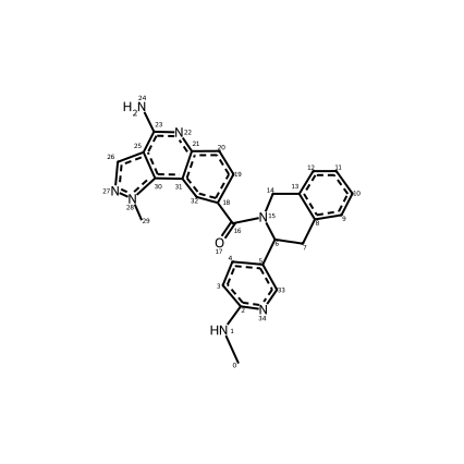 CNc1ccc(C2Cc3ccccc3CN2C(=O)c2ccc3nc(N)c4cnn(C)c4c3c2)cn1